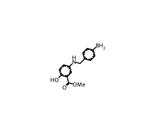 Bc1ccc(CNc2ccc(O)c(C(=O)OC)c2)cc1